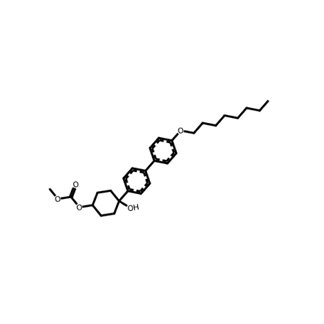 CCCCCCCCOc1ccc(-c2ccc(C3(O)CCC(OC(=O)OC)CC3)cc2)cc1